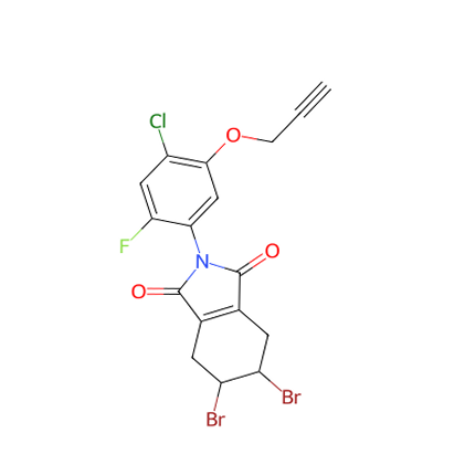 C#CCOc1cc(N2C(=O)C3=C(CC(Br)C(Br)C3)C2=O)c(F)cc1Cl